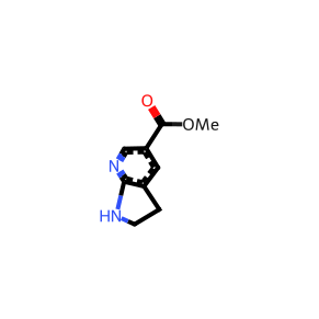 COC(=O)c1cnc2c(c1)CCN2